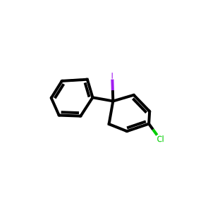 ClC1=CCC(I)(c2ccccc2)C=C1